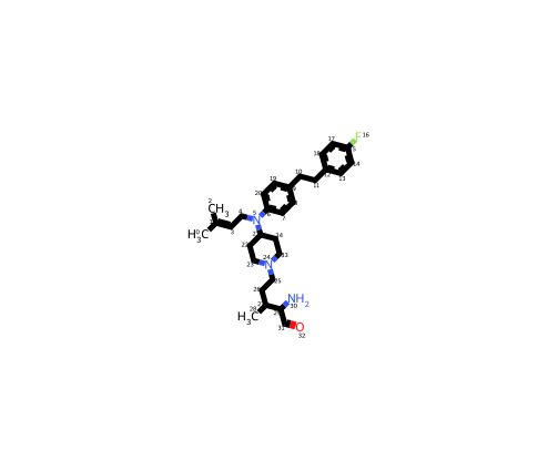 CC(C)=CCN(c1ccc(CCc2ccc(F)cc2)cc1)C1CCN(CCC(C)C(N)C=O)CC1